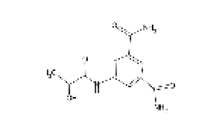 CC(O)C(=O)Nc1cc(C(N)=O)cc(C(N)=O)c1